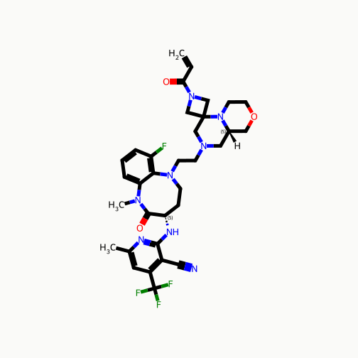 C=CC(=O)N1CC2(CN(CCN3CC[C@H](Nc4nc(C)cc(C(F)(F)F)c4C#N)C(=O)N(C)c4cccc(F)c43)C[C@H]3COCCN32)C1